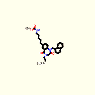 CCOC(=O)CCN1CC(=O)N(Cc2cccc3ccccc23)c2ccc(CCCCCNC(=O)OC(C)(C)C)cc2C1=O